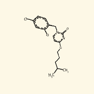 CC(C)CCCOc1ccn(Cc2ccc(Cl)cc2Cl)c(=O)n1